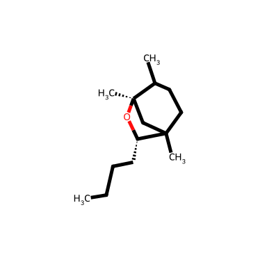 CCCC[C@@H]1O[C@]2(C)CC1(C)CCC2C